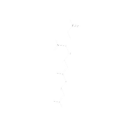 CC(C)=CCC/C(C)=C/CN[C@@H](CCC(=O)O)C(=O)O